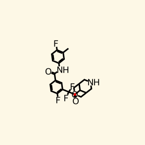 Cc1cc(NC(=O)c2ccc(F)c(C(F)(F)C(=O)C3C4CNCC3COC4)c2)ccc1F